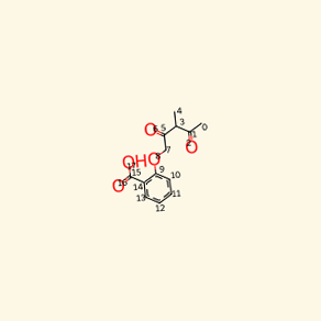 CC(=O)C(C)C(=O)COc1ccccc1C(=O)O